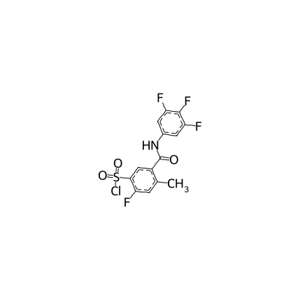 Cc1cc(F)c(S(=O)(=O)Cl)cc1C(=O)Nc1cc(F)c(F)c(F)c1